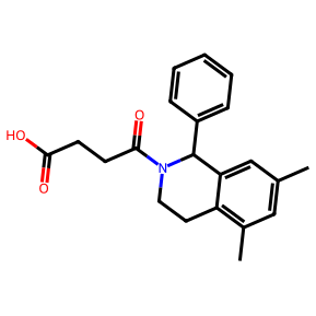 Cc1cc(C)c2c(c1)C(c1ccccc1)N(C(=O)CCC(=O)O)CC2